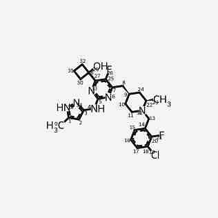 Cc1cc(Nc2nc(C[C@@H]3CCN(Cc4cccc(Cl)c4F)[C@H](C)C3)c(F)c(C3(O)CCC3)n2)n[nH]1